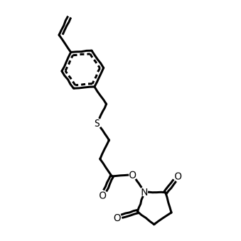 C=Cc1ccc(CSCCC(=O)ON2C(=O)CCC2=O)cc1